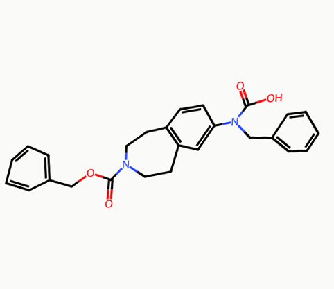 O=C(OCc1ccccc1)N1CCc2ccc(N(Cc3ccccc3)C(=O)O)cc2CC1